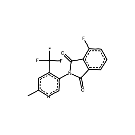 Cc1cc(C(F)(F)F)c(N2C(=O)c3cccc(F)c3C2=O)cn1